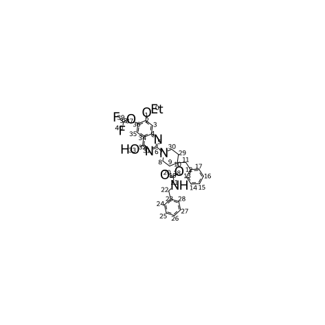 CCOc1cc2nc(N3CCC(Cc4ccccc4)(OC(=O)NCc4ccccc4)CC3)nc(O)c2cc1OC(F)F